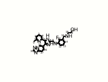 Cc1cccc(-c2[nH]c(CNc3cccc(CNCCO)c3F)nc2-c2ccc3ncnn3c2)n1